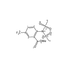 COC(=O)c1cc(C(F)(F)F)ccc1N(S(C)(=O)=O)S(C)(=O)=O